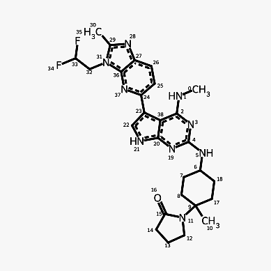 CNc1nc(NC2CCC(C)(N3CCCC3=O)CC2)nc2[nH]cc(-c3ccc4nc(C)n(CC(F)F)c4n3)c12